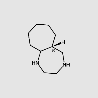 C1CCC2NCCNC[C@H]2CC1